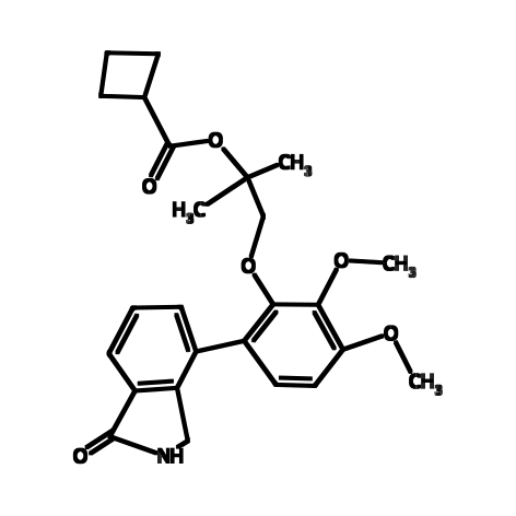 COc1ccc(-c2cccc3c2CNC3=O)c(OCC(C)(C)OC(=O)C2CCC2)c1OC